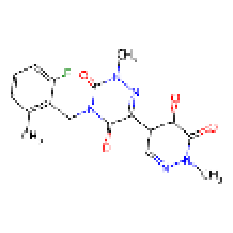 Cc1cccc(F)c1Cn1c(=O)c(C2C=NN(C)C(=O)C2=O)nn(C)c1=O